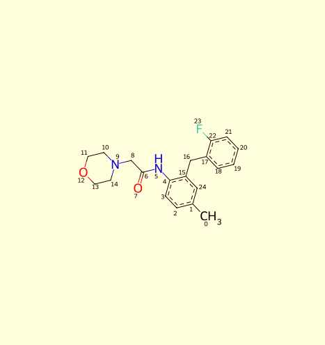 Cc1ccc(NC(=O)CN2CCOCC2)c(Cc2ccccc2F)c1